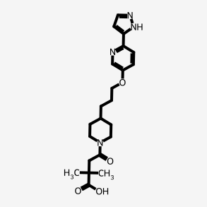 CC(C)(CC(=O)N1CCC(CCCOc2ccc(-c3ccn[nH]3)nc2)CC1)C(=O)O